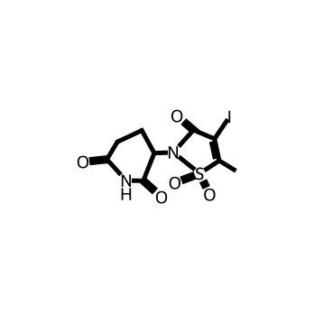 CC1=C(I)C(=O)N(C2CCC(=O)NC2=O)S1(=O)=O